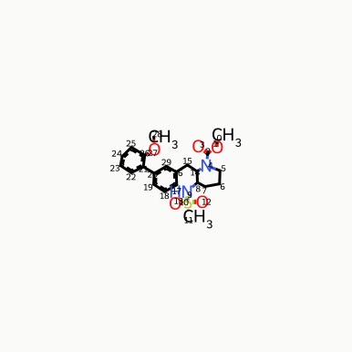 COC(=O)N1CCCC(NS(C)(=O)=O)C1Cc1cccc(-c2ccccc2OC)c1